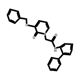 O=C(Cn1cccc(OCc2ccccc2)c1=O)Nc1ccccc1-c1ccccc1